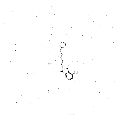 Cl.Nc1cccc2c1C(=O)N(CCCCCC1OCCO1)C2=O